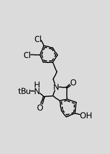 CC(C)(C)NC(=O)C1c2ccc(O)cc2C(=O)N1CCc1ccc(Cl)c(Cl)c1